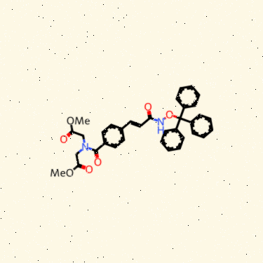 COC(=O)CN(CC(=O)OC)C(=O)c1ccc(/C=C/C(=O)NOC(c2ccccc2)(c2ccccc2)c2ccccc2)cc1